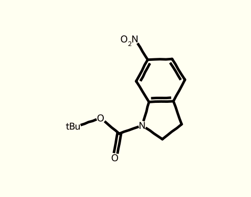 CC(C)(C)OC(=O)N1CCc2ccc([N+](=O)[O-])cc21